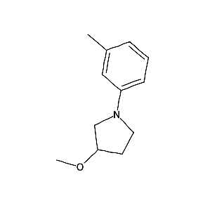 COC1CCN(c2cccc(C)c2)C1